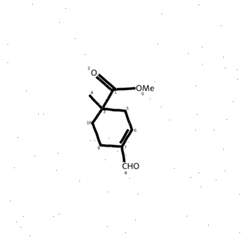 COC(=O)C1(C)CC=C(C=O)CC1